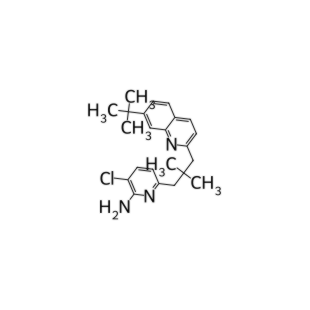 CC(C)(Cc1ccc(Cl)c(N)n1)Cc1ccc2ccc(C(C)(C)C)cc2n1